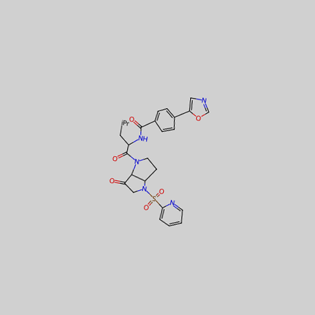 CC(C)CC(NC(=O)c1ccc(-c2cnco2)cc1)C(=O)N1CCC2C1C(=O)CN2S(=O)(=O)c1ccccn1